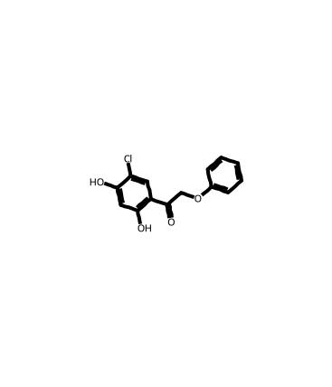 O=C(COc1ccccc1)c1cc(Cl)c(O)cc1O